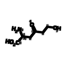 N[C@@H](CC(=O)CCO)C(=O)O